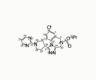 CC(C)OC(=O)N1Cc2cc(Cl)ccc2-n2c(nnc2C2CCN(c3ncccn3)CC2)C1